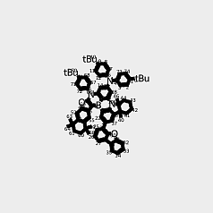 CC(C)(C)c1ccc(N(c2ccc(C(C)(C)C)cc2)c2cc3c4c(c2)N2c5c(cc(-c6cccc7c6oc6ccccc67)cc5C5(C)CCCCC25C)B4c2c(oc4cc5c(cc24)C(C)(C)CCC5(C)C)N3c2ccc(C(C)(C)C)cc2)cc1